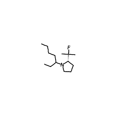 CCCCC(CC)N1CCC[C@H]1C(C)(C)F